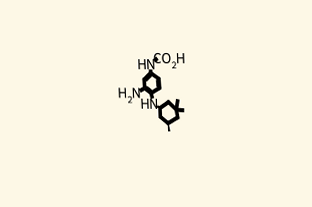 C[C@H]1C[C@@H](Nc2ccc(NC(=O)O)cc2N)CC(C)(C)C1